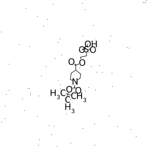 CC(C)(C)OC(=O)N1CCC(C(=O)OCCS(=O)(=O)O)CC1